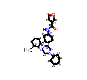 C[C@H]1CCC[C@](c2cccc(NC(=O)c3ccoc3)c2)(N2CCN(c3ccccc3)CC2)C1